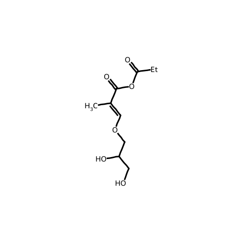 CCC(=O)OC(=O)C(C)=COCC(O)CO